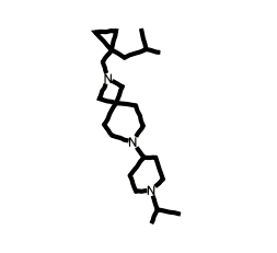 CC(C)CC1(CN2CC3(CCN(C4CCN(C(C)C)CC4)CC3)C2)CC1